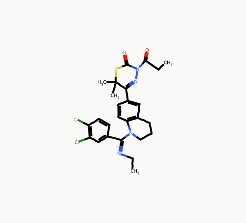 CC/N=C(/c1ccc(Cl)c(Cl)c1)N1CCCc2cc(C3=NN(C(=O)CC)C(=O)SC3(C)C)ccc21